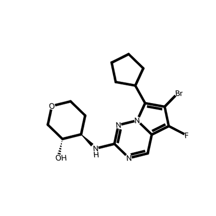 O[C@@H]1COCC[C@H]1Nc1ncc2c(F)c(Br)c(C3CCCC3)n2n1